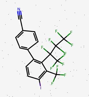 N#Cc1ccc(-c2c[c]c(I)c(C(F)(F)F)c2C(F)(C(F)(F)F)C(F)(F)C(F)(F)F)cc1